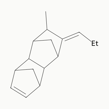 CCC=C1C(C)C2CC1C1C3C=CC(C3)C21